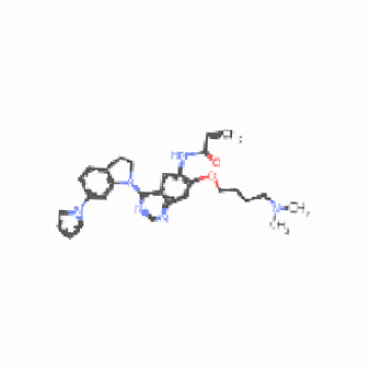 C=CC(=O)Nc1cc2c(N3CCc4ccc(-n5cccc5)cc43)ncnc2cc1OCCCCN(C)C